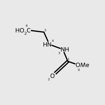 COC(=O)NNCC(=O)O